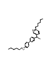 CCCCCCOc1ccc(-c2ccc(C(C)c3ccc(CCCCCC)nc3)cc2)cc1